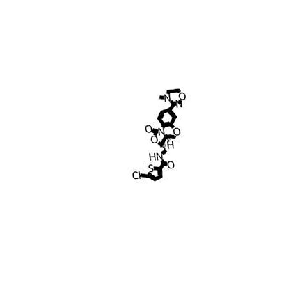 CN1CCON=C1c1ccc2c(c1)OC[C@H]1[C@H](CNC(=O)c3ccc(Cl)s3)OC(=O)N21